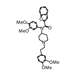 COc1ccc(CCN2CCC(N(C(=O)c3cc4ccccc4o3)c3ccc(OC)c(OC)c3)CC2)cc1OC